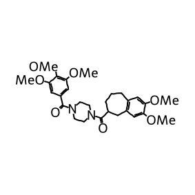 COc1cc2c(cc1OC)CC(C(=O)N1CCN(C(=O)c3cc(OC)c(OC)c(OC)c3)CC1)CCC2